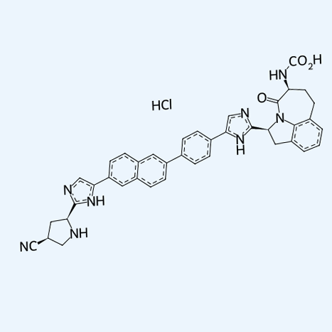 Cl.N#C[C@@H]1CN[C@H](c2ncc(-c3ccc4cc(-c5ccc(-c6cnc([C@@H]7Cc8cccc9c8N7C(=O)[C@@H](NC(=O)O)CC9)[nH]6)cc5)ccc4c3)[nH]2)C1